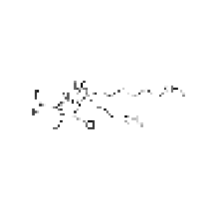 CCCCCCCC(C)(CCCC)n1nc(C(F)F)c(F)c1Cl